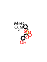 COc1ccc(CS(=O)(=O)c2cc3ccc(O)cc3oc2=O)cc1[N+](=O)[O-]